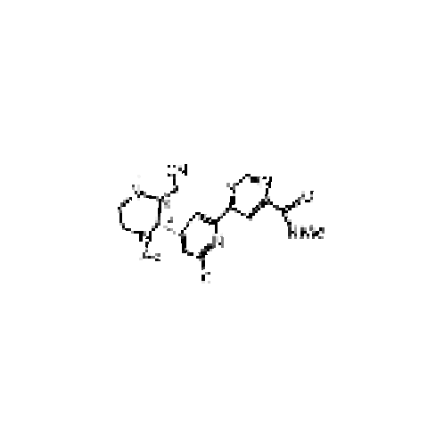 CNC(=O)c1cc(-c2cc([C@H]3[C@H](CC#N)NCCN3C(C)=O)cc(Cl)n2)ncn1